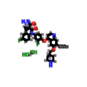 COc1cc2nccc(Oc3ccc(N(C(=O)C4(C(N)=O)CC4)c4ccc(F)cc4)cc3F)c2cc1OCC1CCNCC1.Cl.Cl